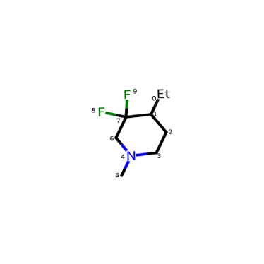 CCC1CCN(C)CC1(F)F